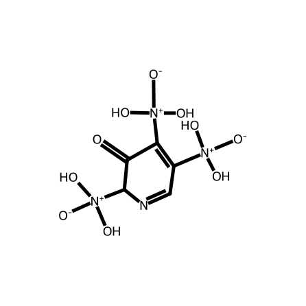 O=C1C([N+]([O-])(O)O)=C([N+]([O-])(O)O)C=NC1[N+]([O-])(O)O